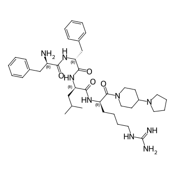 CC(C)C[C@@H](NC(=O)[C@@H](Cc1ccccc1)NC(=O)[C@H](N)Cc1ccccc1)C(=O)N[C@H](CCCCNC(=N)N)C(=O)N1CCC(N2CCCC2)CC1